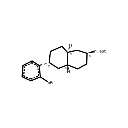 CCCCCCC[C@H]1CC[C@@H]2C[C@H](c3ccccc3CCC)CC[C@H]2C1